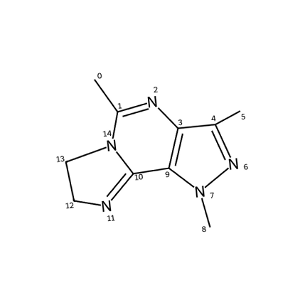 CC1=Nc2c(C)nn(C)c2C2=NCCN12